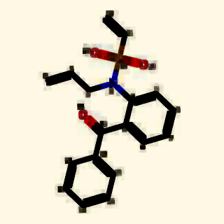 C=CCN(c1ccccc1C(=O)c1ccccc1)S(=O)(=O)C=C